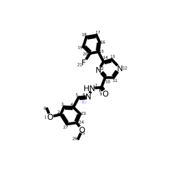 COc1cc(/C=N/NC(=O)c2cncc(-c3ccccc3F)n2)cc(OC)c1